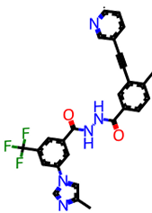 Cc1cn(-c2cc(C(=O)NNC(=O)c3ccc(C)c(C#Cc4cc[c]nc4)c3)cc(C(F)(F)F)c2)cn1